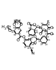 COc1cc(C(=O)Oc2ccc(C#N)c(OC(=O)c3cccc(C(=O)n4c(=O)c(F)cn(C5OC(=O)c6ccccc65)c4=O)c3)n2)cc(OC)c1OC